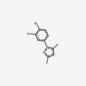 Cc1[c]c(C)n(-c2ccc(Br)c(Cl)c2)n1